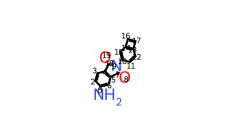 Nc1ccc2c(c1)C(=O)N(c1ccc3c(c1)C=C3)C2=O